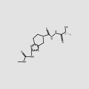 CNC(=O)Nc1nc2c(s1)CN(C(=S)NNC(=O)[C@@H](C)O)CC2